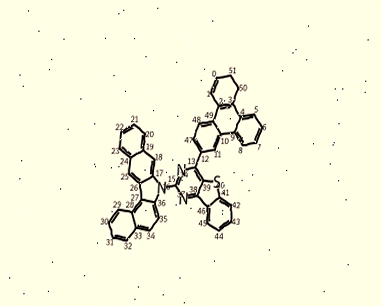 C1=Cc2c(c3ccccc3c3cc(-c4nc(-n5c6cc7ccccc7cc6c6c7ccccc7ccc65)nc5c4sc4ccccc45)ccc23)CC1